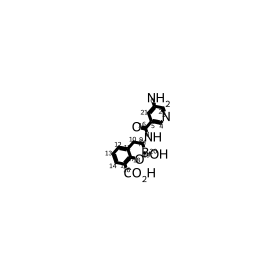 Nc1cncc(C(=O)N[C@H]2Cc3cccc(C(=O)O)c3OB2O)c1